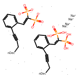 CCCCCCCCCCCC#Cc1ccccc1C=C(P(=O)(O)O)P(=O)(O)O.CCCCCCCCCCCC#Cc1ccccc1C=C(P(=O)([O-])[O-])P(=O)([O-])[O-].[Na+].[Na+].[Na+].[Na+]